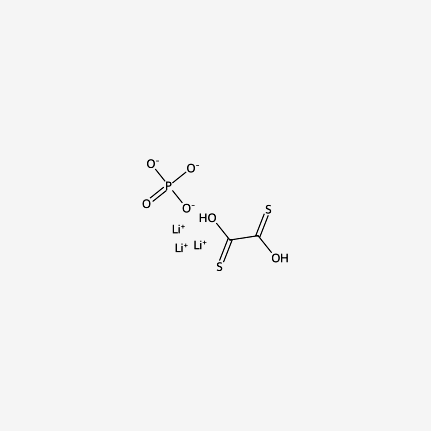 O=P([O-])([O-])[O-].OC(=S)C(O)=S.[Li+].[Li+].[Li+]